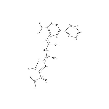 CC(C)c1ccc(-c2cncnc2)cc1NC(=O)N[S+]([O-])c1cc(C(=O)N(C)C)n(C)n1